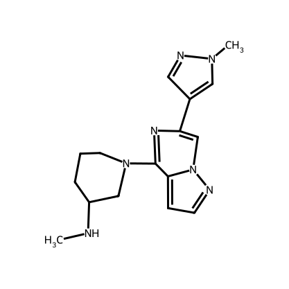 CNC1CCCN(c2nc(-c3cnn(C)c3)cn3nccc23)C1